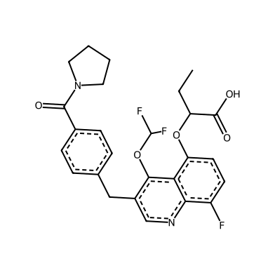 CCC(Oc1ccc(F)c2ncc(Cc3ccc(C(=O)N4CCCC4)cc3)c(OC(F)F)c12)C(=O)O